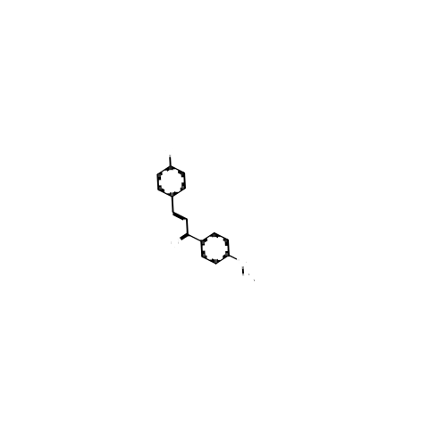 CCCCCCCCCOc1ccc(C(=O)/C=C/c2ccc(O)cc2)cc1